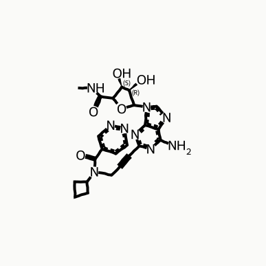 CNC(=O)C1OC(n2cnc3c(N)nc(C#CCN(C(=O)c4ccnnc4)C4CCC4)nc32)[C@H](O)[C@@H]1O